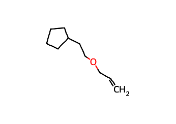 C=CCOCCC1CCCC1